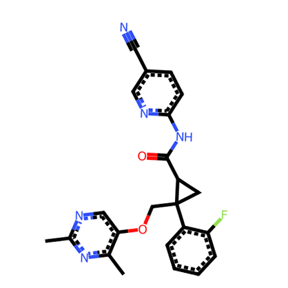 Cc1ncc(OCC2(c3ccccc3F)CC2C(=O)Nc2ccc(C#N)cn2)c(C)n1